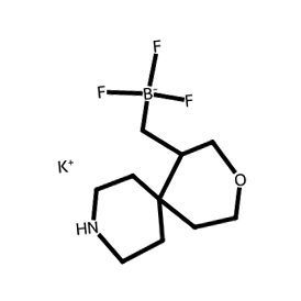 F[B-](F)(F)CC1COCCC12CCNCC2.[K+]